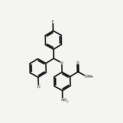 COC(=O)c1cc([N+](=O)[O-])ccc1OC(c1ccc(F)cc1)c1cccc(Cl)c1